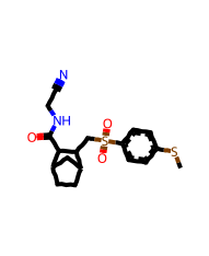 CSc1ccc(S(=O)(=O)CC2C3CCC(C3)C2C(=O)NCC#N)cc1